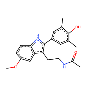 COc1ccc2[nH]c(-c3cc(C)c(O)c(C)c3)c(CCNC(C)=O)c2c1